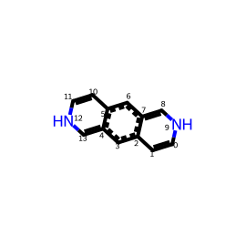 C1=Cc2cc3c(cc2=CN1)C=CNC=3